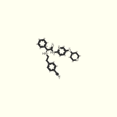 N#Cc1ccc(CCN[C@H](C(=O)Nc2ccc(OC3CCOCC3)cn2)c2ccccc2)cc1